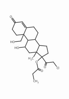 CCC(=O)OC1(C(=O)CCl)CCC2C3CCC4=CC(=O)CCC4(CO)C3C(O)CC21C